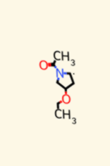 CCOC1C[CH]N(C(C)=O)C1